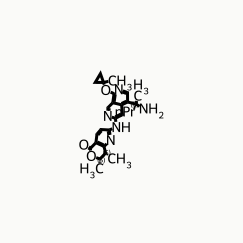 CCC[C@@](C)(N)c1cnc(OC2(C)CC2)c2cnc(Nc3ccc4c(n3)[C@H](C)[C@H](C)OC4=O)cc12